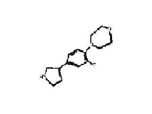 Fc1cc(C2CCNC2)ccc1N1CCOCC1